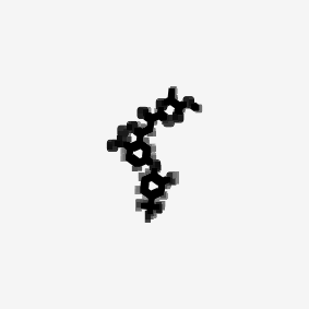 COC(=O)C(C)OC(=O)C(=O)CC(=O)c1cc(Oc2ccc(C(F)(F)F)cc2Cl)ccc1[N+](=O)[O-]